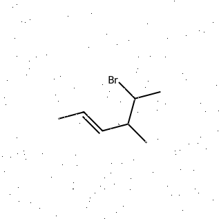 C/C=C/C(C)C(C)Br